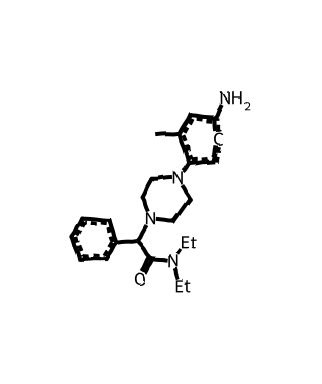 CCN(CC)C(=O)C(c1ccccc1)N1CCN(c2ccc(N)cc2C)CC1